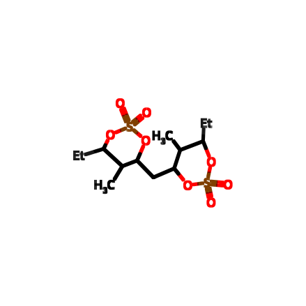 CCC1OS(=O)(=O)OC(CC2OS(=O)(=O)OC(CC)C2C)C1C